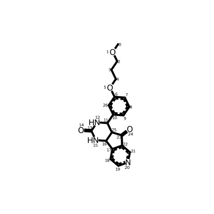 COCCCOc1cccc(C2NC(=O)NC3c4ccncc4C(=O)C23)c1